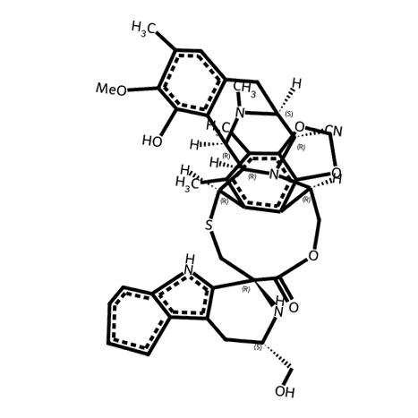 COc1c(C)cc2c(c1O)[C@@H]1[C@@H]3[C@@H]4SC[C@]5(N[C@H](CO)Cc6c5[nH]c5ccccc65)C(=O)OC[C@@H](c5c6c(c(C)c(C)c54)OCO6)N3[C@@H](C#N)[C@H](C2)N1C